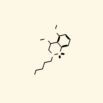 COc1cccc2c1C(OC)CN(CCCCCl)S2(=O)=O